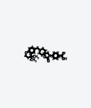 CC1(C)CCOc2ccc(CN3CCC4(CC3)CN(c3ccc(C(=O)O)cc3)C(=O)O4)cc21